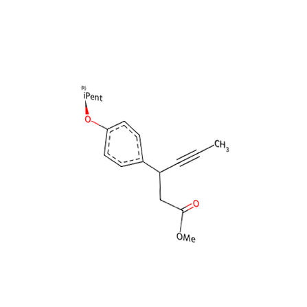 CC#CC(CC(=O)OC)c1ccc(O[C@H](C)CCC)cc1